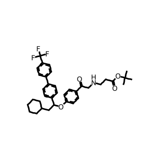 CC(C)(C)OC(=O)CCNCC(=O)c1ccc(OC(CC2CCCCC2)c2ccc(-c3ccc(C(F)(F)F)cc3)cc2)cc1